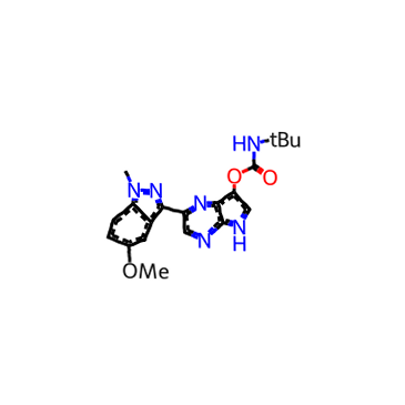 COc1ccc2c(c1)c(-c1cnc3[nH]cc(OC(=O)NC(C)(C)C)c3n1)nn2C